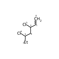 C=CC(Cl)CC(Cl)CC